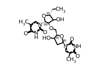 CC[C@H]1O[C@@H](n2cc(C)c(=O)[nH]c2=O)[C@@H](OC[C@H]2O[C@@H](n3cc(C)c(=O)[nH]c3=O)CC2O)C1O